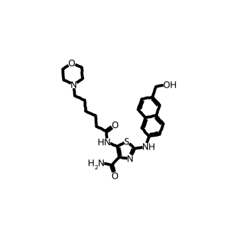 NC(=O)c1nc(Nc2ccc3cc(CO)ccc3c2)sc1NC(=O)CCCCCN1CCOCC1